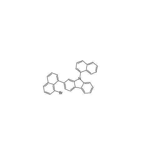 Brc1cccc2cccc(-c3ccc4c5ccccc5n(-c5cccc6ccccc56)c4c3)c12